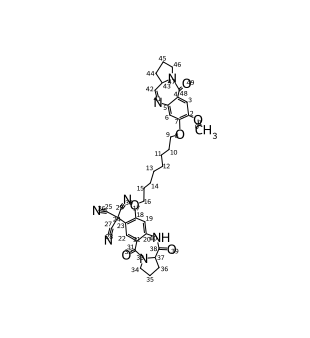 COc1cc2c(cc1OCCCCCCCCOc1cc3c(cc1C(C#N)(C#N)C#N)C(=O)N1CCCC1C(=O)N3)N=CC1CCCN1C2=O